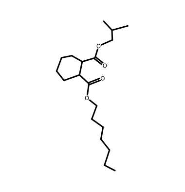 CCCCCCCOC(=O)C1CCCCC1C(=O)OCC(C)C